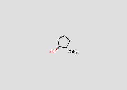 OC1CCCC1.[CaH2]